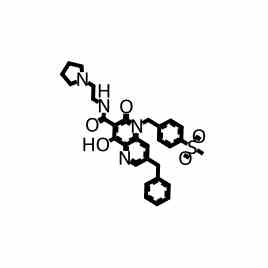 CS(=O)(=O)c1ccc(Cn2c(=O)c(C(=O)NCCN3CCCC3)c(O)c3ncc(Cc4ccccc4)cc32)cc1